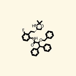 CC1(C)N[C@@H](CCc2c(F)cccc2NC(=O)C(OCc2ccccc2)C(c2ccccc2)c2ccccc2)CO1